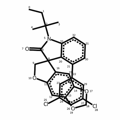 CCC(C)(C)N1C(=O)C2(COc3cc4c(cc32)OCO4)c2c(-c3cc(Cl)cc(Cl)c3)cccc21